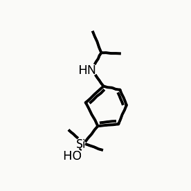 CC(C)Nc1cccc([Si](C)(C)O)c1